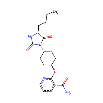 CCCC[C@@H]1NC(=O)N([C@H]2CC[C@H](Oc3ncccc3C(N)=O)CC2)C1=O